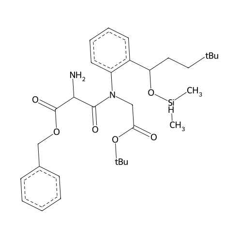 C[SiH](C)OC(CCC(C)(C)C)c1ccccc1N(CC(=O)OC(C)(C)C)C(=O)C(N)C(=O)OCc1ccccc1